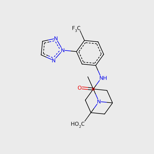 CC1CC2CC(C(=O)O)(C1)N2C(=O)Nc1ccc(C(F)(F)F)c(-n2nccn2)c1